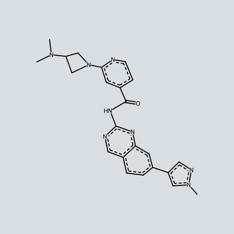 CN(C)C1CN(c2cc(C(=O)Nc3ncc4ccc(-c5cnn(C)c5)cc4n3)ccn2)C1